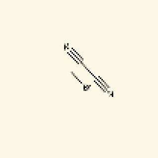 CBr.N#CC#N